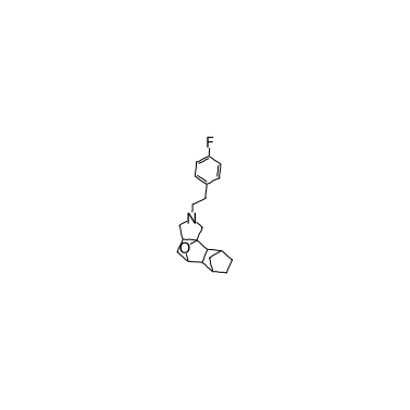 Fc1ccc(CCN2CC3CC4OC3(C2)C2C3CCC(C3)C42)cc1